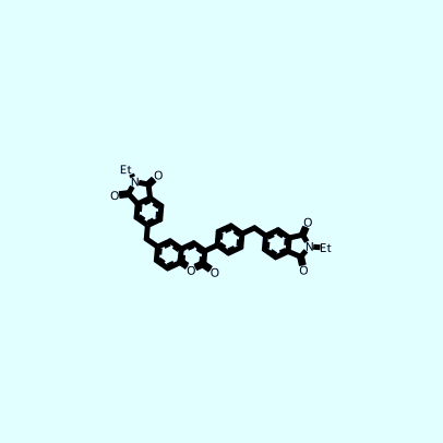 CCN1C(=O)c2ccc(Cc3ccc(-c4cc5cc(Cc6ccc7c(c6)C(=O)N(CC)C7=O)ccc5oc4=O)cc3)cc2C1=O